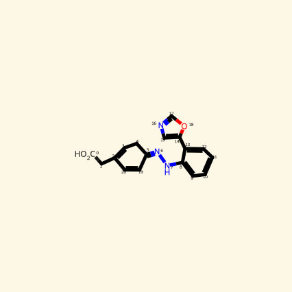 O=C(O)CC1=CCC(=NNc2ccccc2-c2cnco2)C=C1